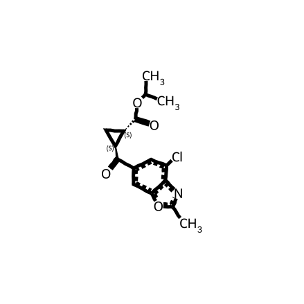 Cc1nc2c(Cl)cc(C(=O)[C@H]3C[C@@H]3C(=O)OC(C)C)cc2o1